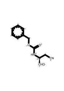 N#CC[C@@H]([C]=O)NC(=O)OCc1ccccc1